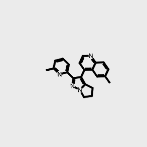 Cc1ccc2nccc(-c3c(-c4cccc(C)n4)nn4c3CCC4)c2c1